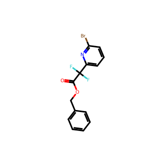 O=C(OCc1ccccc1)C(F)(F)c1cccc(Br)n1